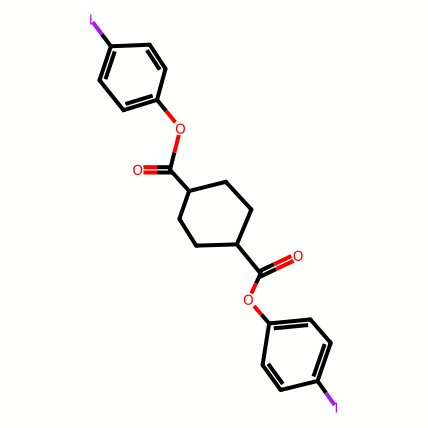 O=C(Oc1ccc(I)cc1)C1CCC(C(=O)Oc2ccc(I)cc2)CC1